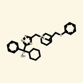 O[C@](c1ccccc1)(c1nnc(C[N+]23CCC(CC2)C(CSc2ccccc2)C3)o1)C1CCCCC1